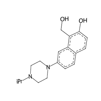 CC(C)N1CCN(c2ccc3ccc(O)c(CO)c3c2)CC1